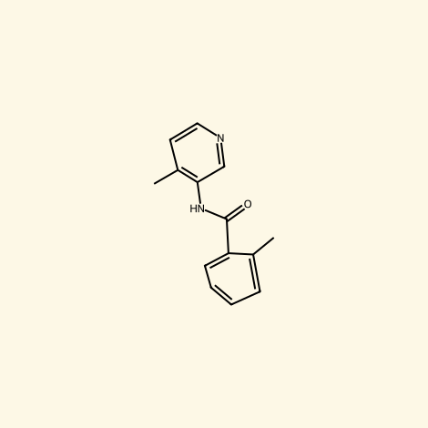 Cc1ccncc1NC(=O)c1ccccc1C